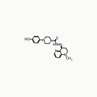 CN1CC/C(=N/NC(=S)N2CCN(c3ccc(O)cc3)CC2)c2ncccc21